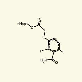 CCCCCCCOC(=O)COc1ccc(F)c(C(N)=O)c1F